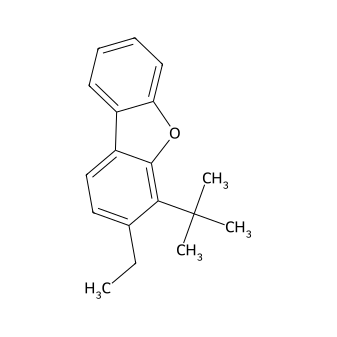 CCc1ccc2c(oc3ccccc32)c1C(C)(C)C